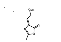 COCC=C1N=C(C)OC1=O